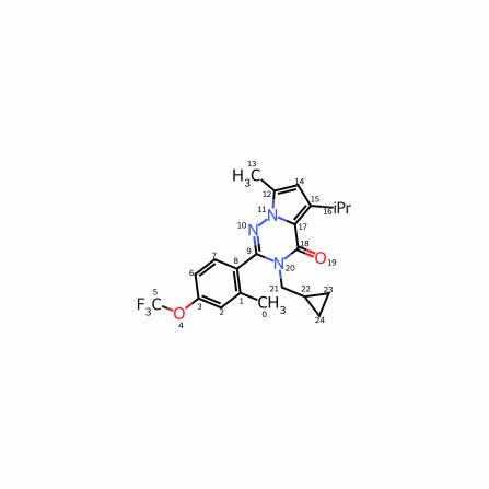 Cc1cc(OC(F)(F)F)ccc1-c1nn2c(C)cc(C(C)C)c2c(=O)n1CC1CC1